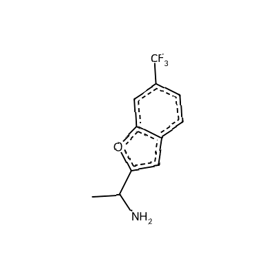 CC(N)c1cc2ccc(C(F)(F)F)cc2o1